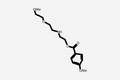 COCCOCCNCCOC(=O)c1ccc(OC)cc1